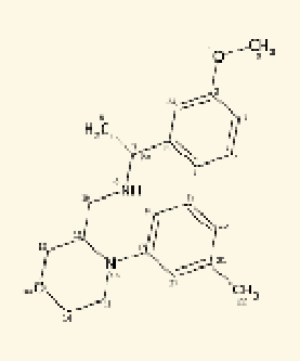 COc1cccc([C@@H](C)NCC2COCCN2c2cccc(C)c2)c1